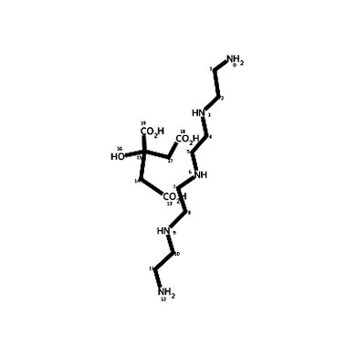 NCCNCCNCCNCCN.O=C(O)CC(O)(CC(=O)O)C(=O)O